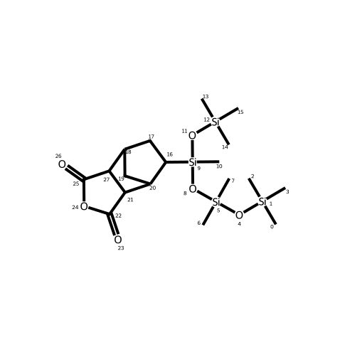 C[Si](C)(C)O[Si](C)(C)O[Si](C)(O[Si](C)(C)C)C1CC2CC1C1C(=O)OC(=O)C21